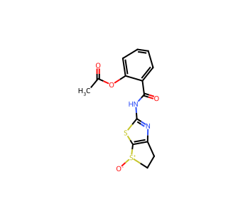 CC(=O)Oc1ccccc1C(=O)Nc1nc2c(s1)[S+]([O-])CC2